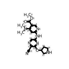 COC(=O)c1cnc(Nc2cnc(C#N)c(OC3CCNC3)n2)cc1N(C)C